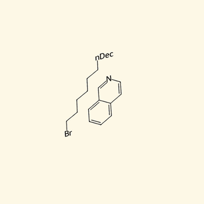 CCCCCCCCCCCCCCCCBr.c1ccc2cnccc2c1